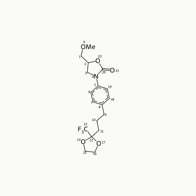 COCC1CN(c2ccc(CCCC3(C(F)(F)F)OCCO3)cc2)C(=O)O1